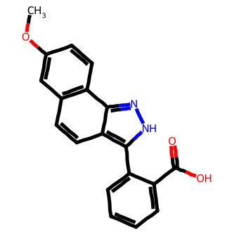 COc1ccc2c(ccc3c(-c4ccccc4C(=O)O)[nH]nc32)c1